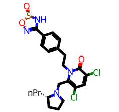 CCC[C@H]1CCCN1Cc1c(Cl)cc(Cl)c(=O)n1CCc1ccc(C2=NOS(=O)N2)cc1